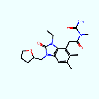 CCn1c(=O)n(CC2CCCO2)c2cc(C)c(C)c(CC(=O)N(C)C(N)=O)c21